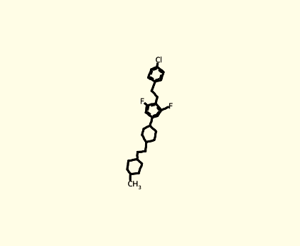 CC1CCC(CCC2CCC(c3cc(F)c(CCc4ccc(Cl)cc4)c(F)c3)CC2)CC1